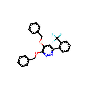 FC(F)(F)c1ccccc1-c1cc(OCc2ccccc2)c(OCc2ccccc2)nn1